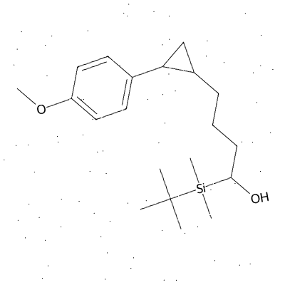 COc1ccc(C2CC2CCCC(O)[Si](C)(C)C(C)(C)C)cc1